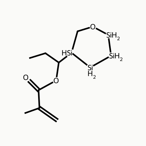 C=C(C)C(=O)OC(CC)[SiH]1CO[SiH2][SiH2][SiH2]1